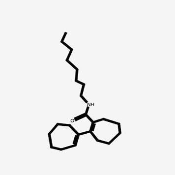 CCCCCCCCNC(=O)C1=C(C2=CCCCCC2)CCCCC1